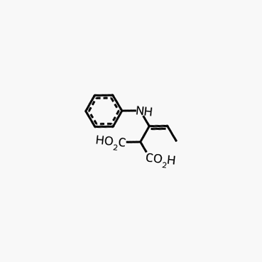 CC=C(Nc1ccccc1)C(C(=O)O)C(=O)O